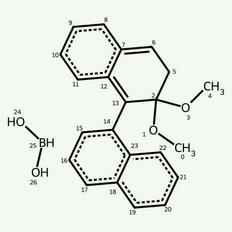 COC1(OC)CC=c2ccccc2=C1c1cccc2ccccc12.OBO